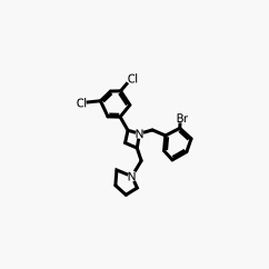 Clc1cc(Cl)cc(C2CC(CN3CCCC3)N2Cc2ccccc2Br)c1